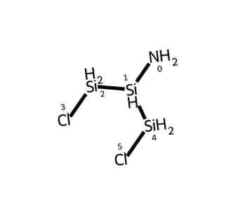 N[SiH]([SiH2]Cl)[SiH2]Cl